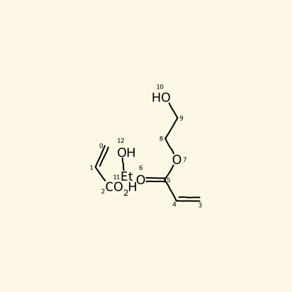 C=CC(=O)O.C=CC(=O)OCCO.[CH2]CO